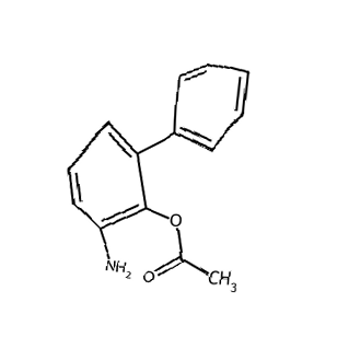 CC(=O)Oc1c(N)cccc1-c1ccccc1